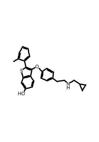 Cc1ccccc1-c1sc2cc(O)ccc2c1Oc1ccc(CCNCC2CC2)cc1